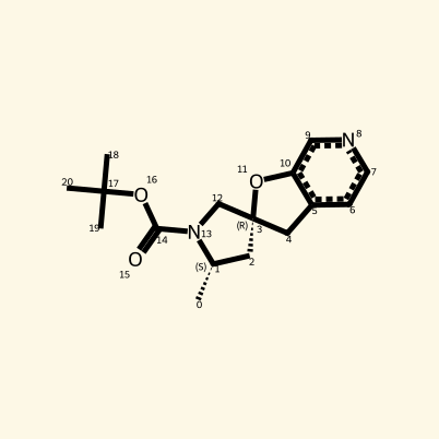 C[C@H]1C[C@]2(Cc3ccncc3O2)CN1C(=O)OC(C)(C)C